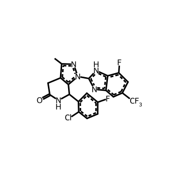 Cc1nn(-c2nc3cc(C(F)(F)F)cc(F)c3[nH]2)c2c1CC(=O)NC2c1cc(F)ccc1Cl